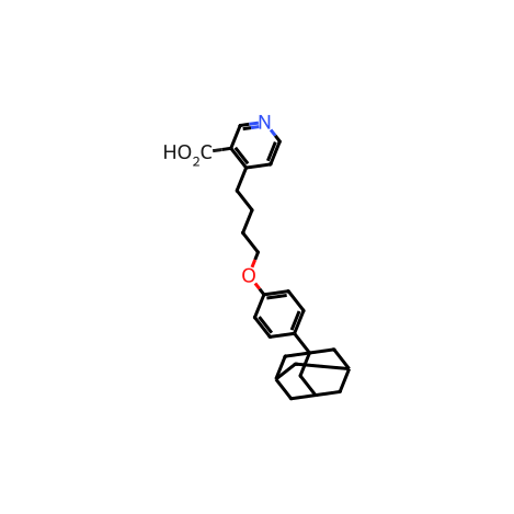 O=C(O)c1cnccc1CCCCOc1ccc(C23CC4CC(CC(C4)C2)C3)cc1